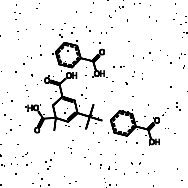 CC(C)(C)C1=CC(C)(C(=O)O)CC(C(=O)O)=C1.O=C(O)c1ccccc1.O=C(O)c1ccccc1